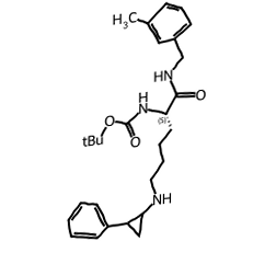 Cc1cccc(CNC(=O)[C@H](CCCCNC2CC2c2ccccc2)NC(=O)OC(C)(C)C)c1